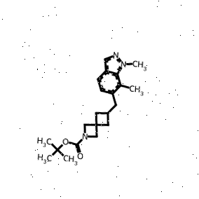 Cc1c(CC2CC3(C2)CN(C(=O)OC(C)(C)C)C3)ccc2cnn(C)c12